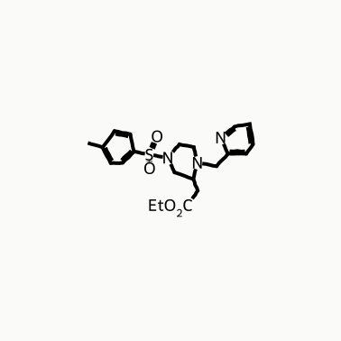 CCOC(=O)CC1CN(S(=O)(=O)c2ccc(C)cc2)CCN1Cc1ccccn1